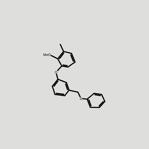 COc1c(C)cccc1Oc1cccc(COc2ccccc2)c1